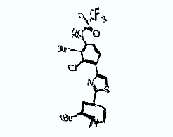 CC(C)(C)c1cc(-c2nc(-c3ccc(NS(=O)(=O)C(F)(F)F)c(Br)c3Cl)cs2)ccn1